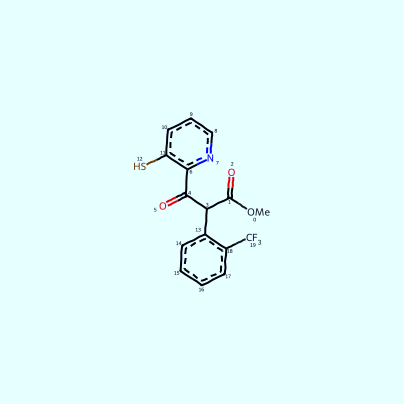 COC(=O)C(C(=O)c1ncccc1S)c1ccccc1C(F)(F)F